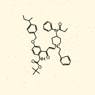 CCC(=O)N(c1ccccc1)C1CC[N+](C=CC(=O)c2cc(OCc3ccc(C(C)CC)cc3)ccc2NC(=O)OC(C)(C)C)(CCc2ccccc2)CC1